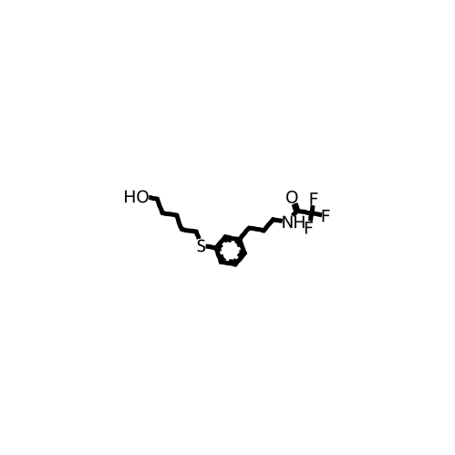 O=C(NCCCc1cccc(SCCCCCO)c1)C(F)(F)F